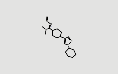 C=N/N=C(/C1CCC(c2cnn(C3CCCCC3)c2)CC1)N(C)C